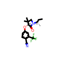 CC[C@H](C)N1CC(C)(C)[C@@H](Oc2ccc(C#N)c(C(F)(F)F)c2)C1=O